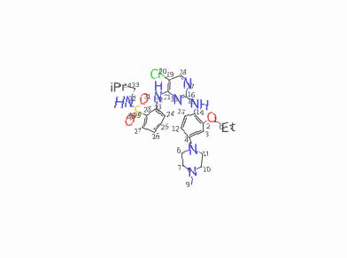 CCOc1cc(N2CCN(C)CC2)ccc1Nc1ncc(Cl)c(Nc2ccccc2S(=O)(=O)NCC(C)C)n1